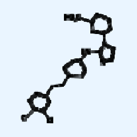 O=C(O)c1cccc(-n2ccnc2Nc2ccc(CCc3ccc(Cl)c(Cl)c3)cc2)c1